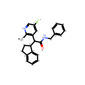 Cc1ncc(F)cc1C(C(=O)NCc1ccccc1)C1CCc2ccccc21